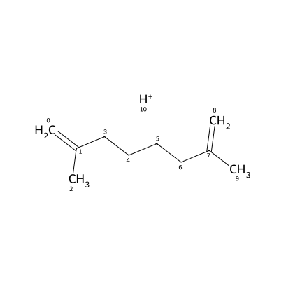 C=C(C)CCCCC(=C)C.[H+]